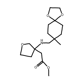 COC(=O)CC1(NCC2(C)CCC3(CC2)OCCO3)CCOC1